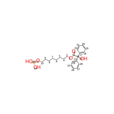 O=C(OCCCCCCCCOP(O)O)C(O)(c1ccccc1)c1ccccc1